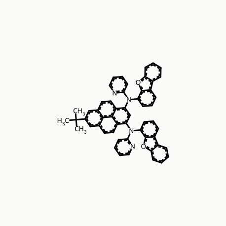 CC(C)(C)c1cc2ccc3c(N(c4ccccn4)c4cccc5c4oc4ccccc45)cc(N(c4ccccn4)c4cccc5c4oc4ccccc45)c4ccc(c1)c2c34